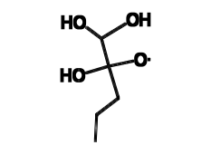 CCCC([O])(O)C(O)O